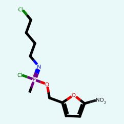 CP(Cl)(=NCCCCCl)OCc1ccc([N+](=O)[O-])o1